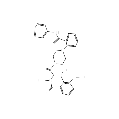 COc1cccc(C(=O)N(C)CC(=O)N2CCN(c3ccccc3C(=O)Nc3ccncc3)CC2)c1OC